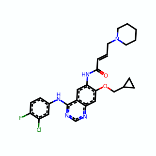 O=C(/C=C/CN1CCCCC1)Nc1cc2c(Nc3ccc(F)c(Cl)c3)ncnc2cc1OCC1CC1